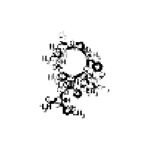 C=C1CCC(C(=O)N[C@H](CCC(N)=O)C(=O)O[C@@H](C)C(=O)N2CCC[C@H]2C(=O)N(C)[C@H](CC(C)C)C(=O)N[C@H]2C(=O)N[C@@H]([C@@H](C)CC)[C@@H](O)CC(=O)N[C@@H](C(C)C)C(=O)N[C@@H](CC(C)C)C(=O)N3CCC[C@H]3C(=O)N(C)[C@@H](Cc3ccc(OC)cc3)C(=O)O[C@H]2C)N1